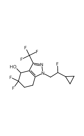 OC1c2c(C(F)(F)F)nn(CC(F)C3CC3)c2CCC1(F)F